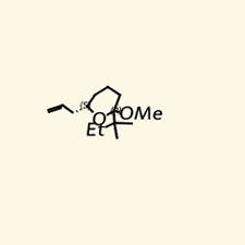 C=CC[C@@H]1CCC[C@](OC)(C(C)(C)CC)O1